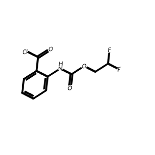 O=C(Nc1ccccc1C(=O)Cl)OCC(F)F